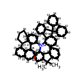 CC1(C)c2ccccc2-c2c(N(c3ccccc3-c3cccc4cccc(C5CCCCC5)c34)c3cccc4c3-c3ccccc3C4(c3ccccc3)c3ccccc3)cccc21